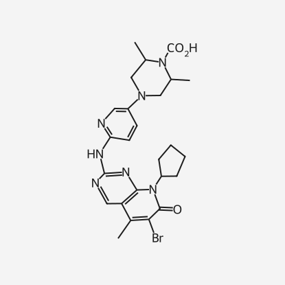 Cc1c(Br)c(=O)n(C2CCCC2)c2nc(Nc3ccc(N4CC(C)N(C(=O)O)C(C)C4)cn3)ncc12